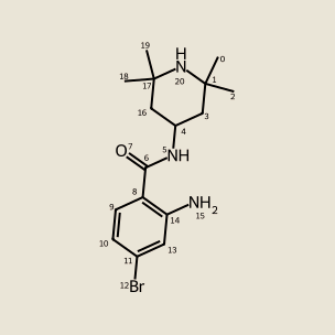 CC1(C)CC(NC(=O)c2ccc(Br)cc2N)CC(C)(C)N1